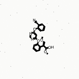 CO/C=C(\c1ccccc1Oc1cc(Oc2ccccc2C#N)ncn1)C(O)OC